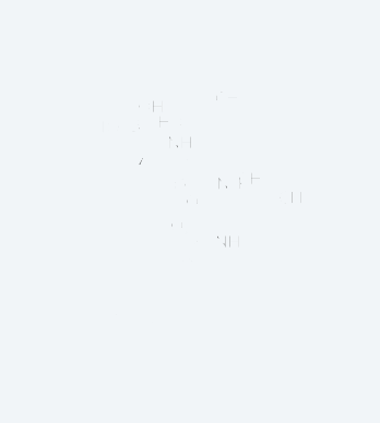 CC(C)C[C@H](NC(=O)OCc1ccccc1)C(=O)N[C@@H](CC(C)C)C(=O)N[C@@H](Cc1ccccc1)B(O)O